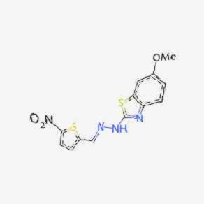 COc1ccc2nc(NN=Cc3ccc([N+](=O)[O-])s3)sc2c1